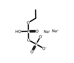 CCOP(=O)(O)OP(=O)([O-])[O-].[Na+].[Na+]